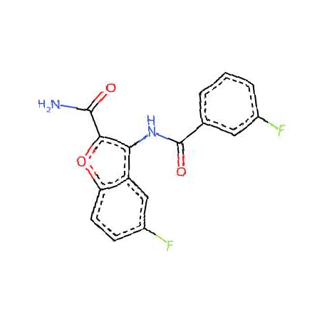 NC(=O)c1oc2ccc(F)cc2c1NC(=O)c1cccc(F)c1